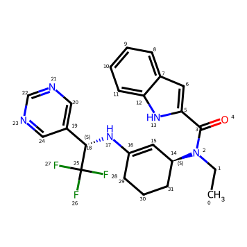 CCN(C(=O)c1cc2ccccc2[nH]1)[C@@H]1C=C(N[C@@H](c2cncnc2)C(F)(F)F)CCC1